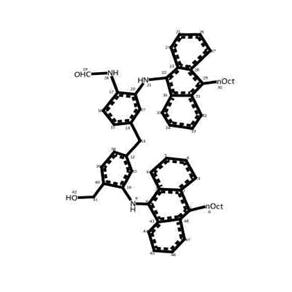 CCCCCCCCc1c2ccccc2c(Nc2cc(Cc3ccc(NC=O)c(Nc4c5ccccc5c(CCCCCCCC)c5ccccc45)c3)ccc2CO)c2ccccc12